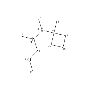 COCN(C)B(C)C1(C)CCC1